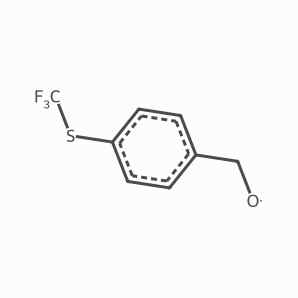 [O]Cc1ccc(SC(F)(F)F)cc1